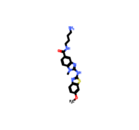 Cn1c(Nc2nc3ccc(OC(F)(F)F)cc3s2)nc2cc(C(=O)NCCCCN)ccc21